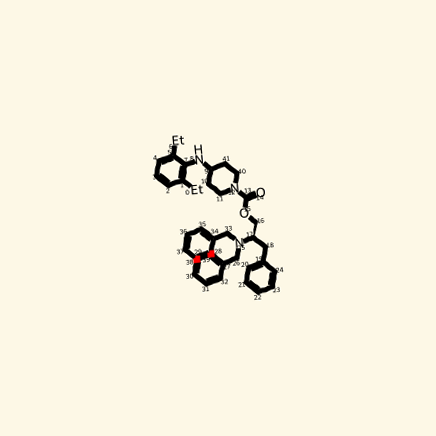 CCc1cccc(CC)c1NC1CCN(C(=O)OC[C@@H](Cc2ccccc2)N(Cc2ccccc2)Cc2ccccc2)CC1